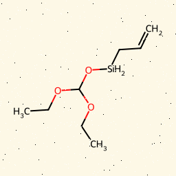 C=CC[SiH2]OC(OCC)OCC